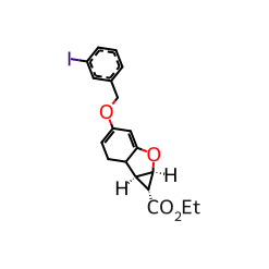 CCOC(=O)[C@H]1[C@@H]2OC3=CC(OCc4cccc(I)c4)=CCC3[C@@H]21